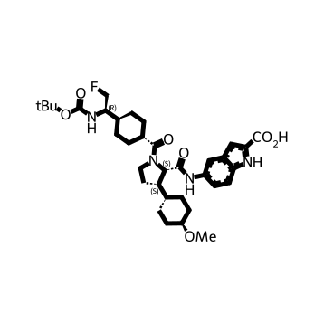 CO[C@H]1CC[C@H]([C@@H]2CCN(C(=O)[C@H]3CC[C@H]([C@H](CF)NC(=O)OC(C)(C)C)CC3)[C@@H]2C(=O)Nc2ccc3[nH]c(C(=O)O)cc3c2)CC1